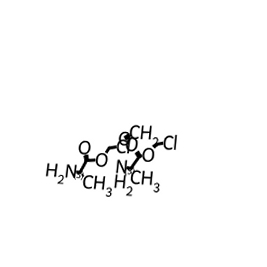 C=O.C[C@H](N)C(=O)OCCl.C[C@H](N)C(=O)OCCl